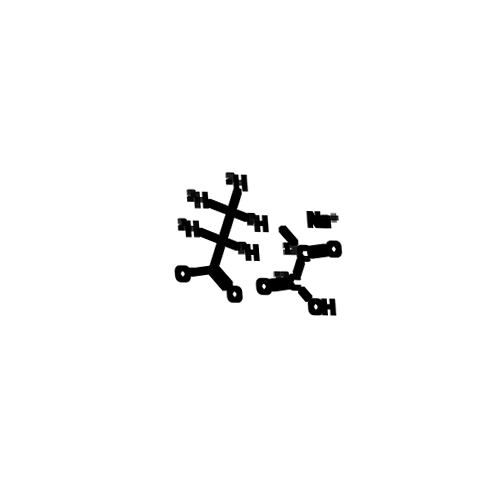 C[13C](=O)[13C](=O)O.[2H]C([2H])([2H])C([2H])([2H])C(=O)[O-].[Na+]